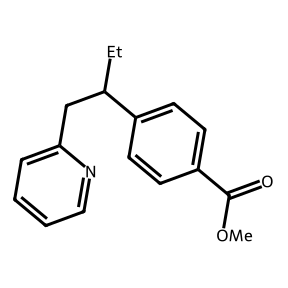 CCC(Cc1ccccn1)c1ccc(C(=O)OC)cc1